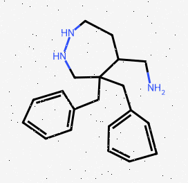 NCC1CCNNCC1(Cc1ccccc1)Cc1ccccc1